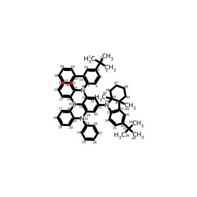 CC(C)(C)c1ccc(N2c3ccccc3B3c4ccccc4N(c4ccccc4)c4cc(N5c6ccc(C(C)(C)C)cc6C6(C)CCCCC56C)cc2c43)c(-c2ccccc2)c1